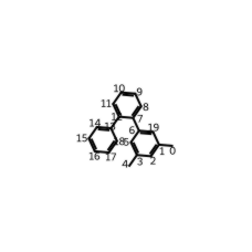 Cc1cc(C)cc(-c2ccccc2-c2ccccc2)c1